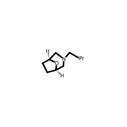 CC(C)CN1C[C@H]2CC[C@@H](C1)O2